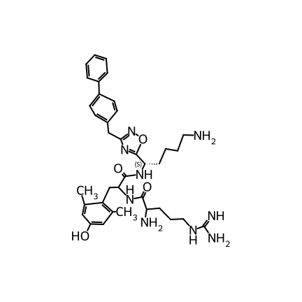 Cc1cc(O)cc(C)c1CC(NC(=O)C(N)CCCNC(=N)N)C(=O)N[C@@H](CCCCN)c1nc(Cc2ccc(-c3ccccc3)cc2)no1